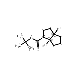 CC(C)(C)OC(=O)[C@H]1CC[C@@H]2CCC[C@@H]21